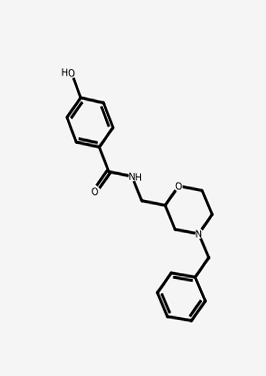 O=C(NCC1CN(Cc2ccccc2)CCO1)c1ccc(O)cc1